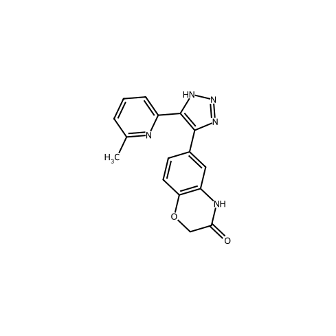 Cc1cccc(-c2[nH]nnc2-c2ccc3c(c2)NC(=O)CO3)n1